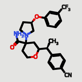 C[C@@H](c1ccc(C#N)cc1)C1CC(C(N)=O)(N2CC[C@@H](Oc3cccc(C(F)(F)F)c3)C2)CCO1